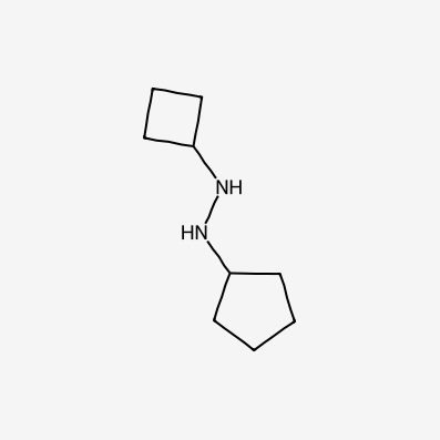 C1CCC(NNC2CCC2)C1